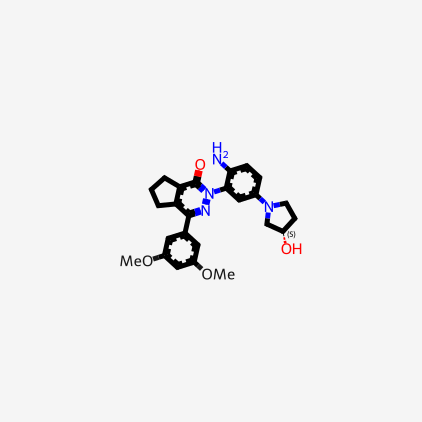 COc1cc(OC)cc(-c2nn(-c3cc(N4CC[C@H](O)C4)ccc3N)c(=O)c3c2CCC3)c1